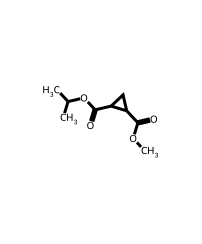 COC(=O)C1CC1C(=O)OC(C)C